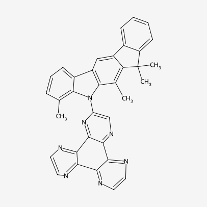 Cc1cccc2c3cc4c(c(C)c3n(-c3cnc5c6nccnc6c6nccnc6c5n3)c12)C(C)(C)c1ccccc1-4